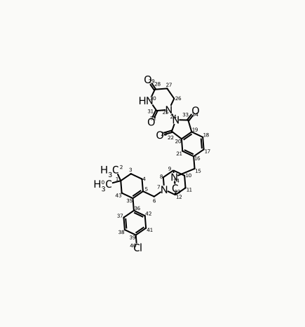 CC1(C)CCC(CN2CC3CCC2CN3Cc2ccc3c(c2)C(=O)N(N2CCC(=O)NC2=O)C3=O)=C(c2ccc(Cl)cc2)C1